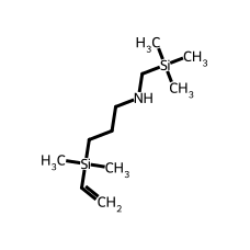 C=C[Si](C)(C)CCCNC[Si](C)(C)C